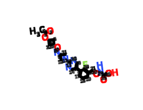 CC(=O)OC1CC(ON=C2CN(c3ncc(-c4cccc(CONC(=O)O)c4F)cn3)C2)C1